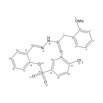 COc1ccccc1CC(=O)NN=Cc1ccccc1OS(=O)(=O)c1ccc(C(F)(F)F)cc1